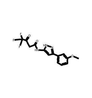 COc1cccc(-c2cc(NC(=O)CC(=O)C(F)(F)F)[nH]n2)c1